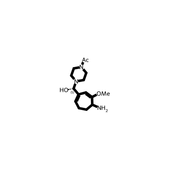 COC1=CC([C@H](O)N2CCN(C(C)=O)CC2)=CCCC1N